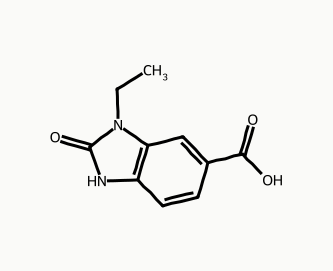 CCn1c(=O)[nH]c2ccc(C(=O)O)cc21